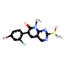 Cn1c(=O)c(-c2ccc(Br)cc2Cl)cc2cnc([S+](C)[O-])nc21